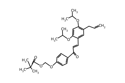 C=CCc1cc(C=CC(=O)c2ccc(OCOC(=O)C(C)(C)C)cc2)c(OC(C)C)cc1OC(C)C